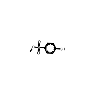 COS(=O)(=O)c1ccc(S)cc1